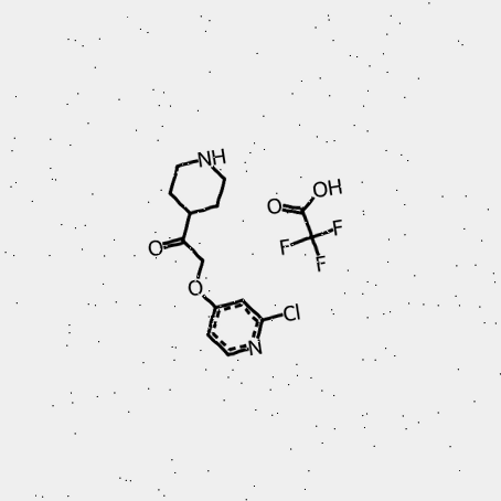 O=C(COc1ccnc(Cl)c1)C1CCNCC1.O=C(O)C(F)(F)F